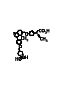 CC#C[C@@H](CC(=O)O)c1ccc(OCc2ccc3scc(-c4ccc(OCC5CCS(O)(O)CC5)cc4C)c3c2)cc1